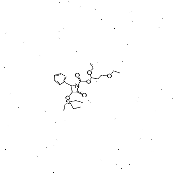 CCOCCC(OCC)OC(=O)N1C(=O)C(O[Si](CC)(CC)CC)C1c1ccccc1